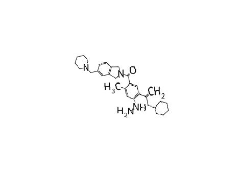 C=C(CC1CCCCC1)c1cc(C(=O)N2Cc3ccc(CN4CCCCC4)cc3C2)c(C)cc1NN